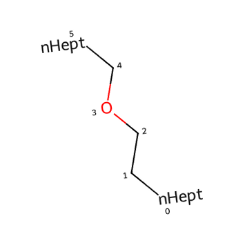 CCCCCCCCCOCCCCCCCC